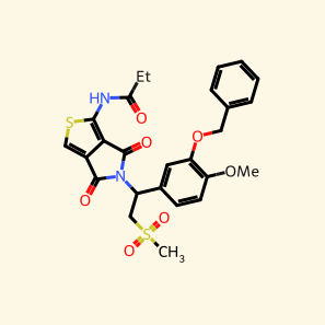 CCC(=O)Nc1scc2c1C(=O)N(C(CS(C)(=O)=O)c1ccc(OC)c(OCc3ccccc3)c1)C2=O